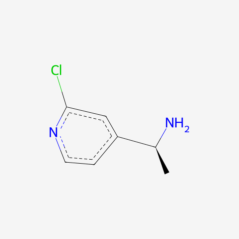 C[C@H](N)c1ccnc(Cl)c1